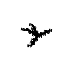 CC/C=C/C(=O)NCCCCCCNC(=O)CCCC(=O)NC(COCCC(=O)NCCCNC(=O)CCCCC(C)C)(COCCC(=O)NCCCNC(=O)CCCCC(C)C)COCCC(=O)NCCCNC(=O)CCCCC(C)(C)SC